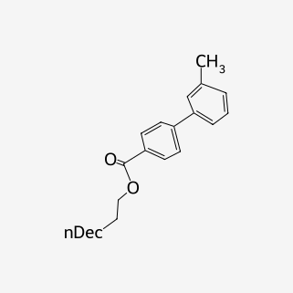 CCCCCCCCCCCCOC(=O)c1ccc(-c2cccc(C)c2)cc1